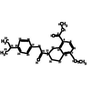 COC(=O)c1ccc(OC)c2c1CN(C(=O)Cc1ccc(C(C)C)cc1)CC2